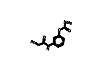 CNC(=O)Oc1cccc(NC(=O)CC(C)=O)c1